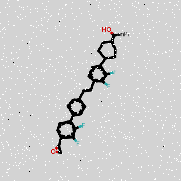 CCCC(O)C1CCC(c2ccc(CCc3ccc(-c4ccc(C5CO5)c(F)c4F)cc3)c(F)c2F)CC1